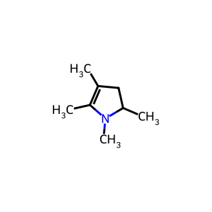 CC1=C(C)N(C)C(C)C1